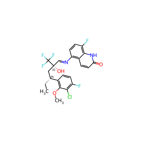 CC[C@H](C[C@](O)(C=Nc1ccc(F)c2[nH]c(=O)ccc12)C(F)(F)F)c1ccc(F)c(Cl)c1OC